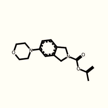 C=C(C)OC(=O)N1Cc2ccc(N3CCOCC3)cc2C1